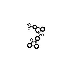 COC(=O)C1=CC2(CC1)CCN(C(=O)c1ccc(NC(=O)c3ccccc3-c3ccccc3)cc1)c1ccccc1C2